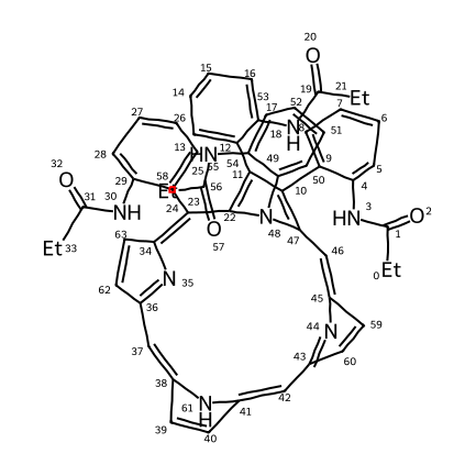 CCC(=O)Nc1ccccc1-c1c(-c2ccccc2NC(=O)CC)c2c(-c3ccccc3NC(=O)CC)c3nc(cc4ccc(cc5nc(cc1n2-c1ccccc1NC(=O)CC)C=C5)[nH]4)C=C3